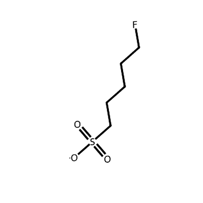 [O]S(=O)(=O)CCCCCF